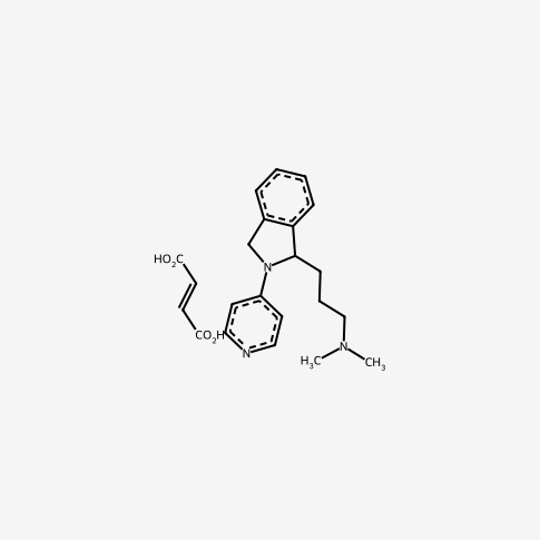 CN(C)CCCC1c2ccccc2CN1c1ccncc1.O=C(O)C=CC(=O)O